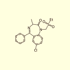 CCS(=O)(=O)CN1C(=O)C(C)N=C(c2ccccc2)c2cc(Cl)ccc21